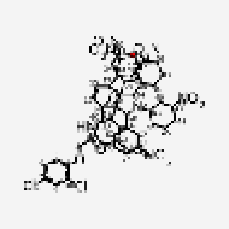 O=C(COc1ccc(Cl)cc1Cl)NCC12C=CC(C3CCCC([N+](=O)[O-])C3)(O1)C1(C3CCCC([N+](=O)[O-])C3)C(C3CCCC([N+](=O)[O-])C3)N(C3CCCC([N+](=O)[O-])C3)C(C3CCCC([N+](=O)[O-])C3)C21C1CCCC([N+](=O)[O-])C1